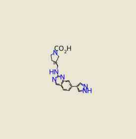 O=C(O)N1CC[C@H](CNc2ncc3ccc(-c4cn[nH]c4)cc3n2)C1